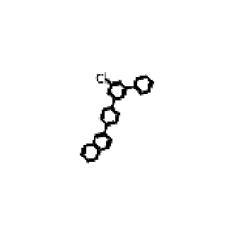 Clc1cc(-c2ccccc2)cc(-c2ccc(-c3ccc4c(c3)C=CCC4)cc2)c1